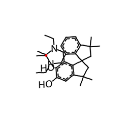 CCN(CC)Cc1cccc2c1C1(CC2(C)C)CC(C)(C)c2cc(O)c(O)c(CN(CC)CC)c21